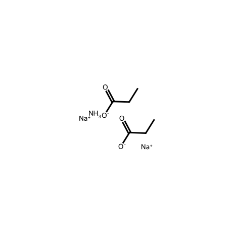 CCC(=O)[O-].CCC(=O)[O-].N.[Na+].[Na+]